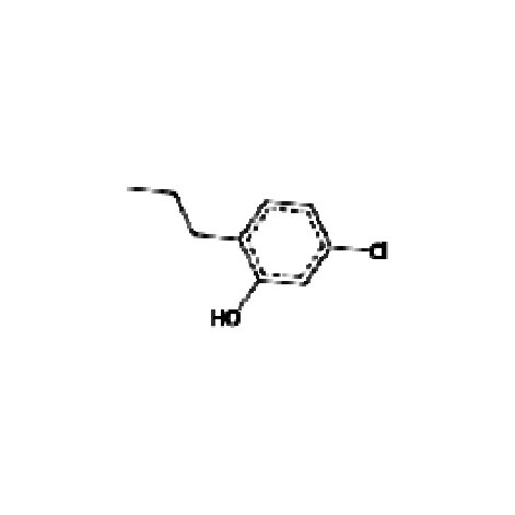 CCCc1ccc(Cl)cc1O